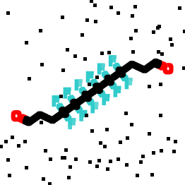 O=CCCC(F)(F)C(F)(F)C(F)(F)C(F)(F)C(F)(F)C(F)(F)CCC=O